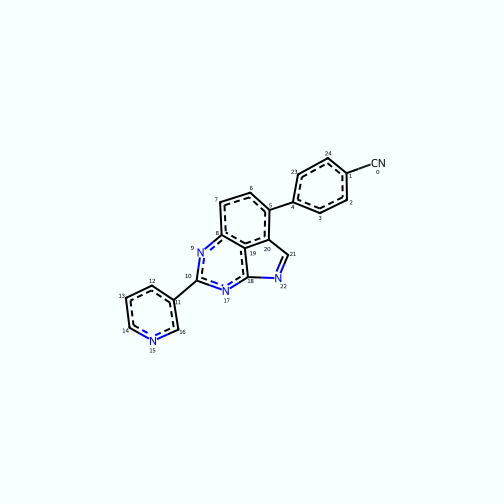 N#Cc1ccc(-c2ccc3nc(-c4cccnc4)nc4c3c2C=N4)cc1